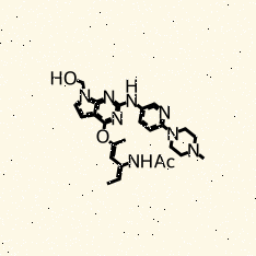 C/C=C(\C=C(/C)Oc1nc(Nc2ccc(N3CCN(C)CC3)nc2)nc2c1ccn2CO)NC(C)=O